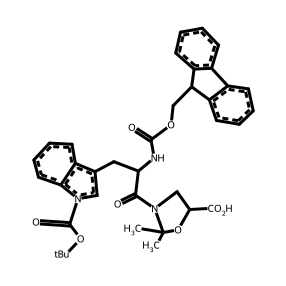 CC(C)(C)OC(=O)n1cc(CC(NC(=O)OCC2c3ccccc3-c3ccccc32)C(=O)N2CC(C(=O)O)OC2(C)C)c2ccccc21